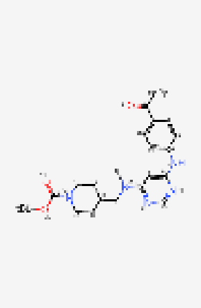 CCCC(=O)c1ccc(Nc2cc(N(C)CC3CCN(C(=O)OC(C)(C)C)CC3)ncn2)cc1